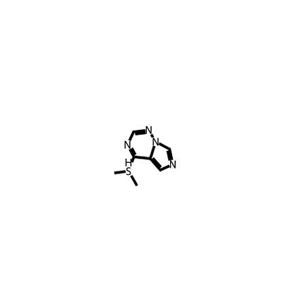 C[SH](C)c1ncnn2cncc12